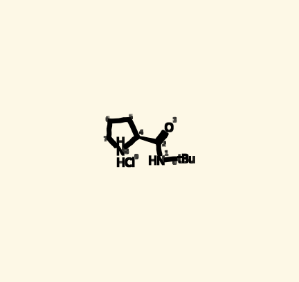 CC(C)(C)NC(=O)[C@@H]1CCCN1.Cl